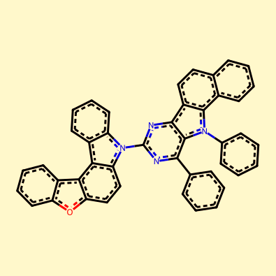 c1ccc(-c2nc(-n3c4ccccc4c4c5c(ccc43)oc3ccccc35)nc3c4ccc5ccccc5c4n(-c4ccccc4)c23)cc1